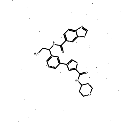 CCC(NC(=O)c1ccc2ncsc2c1)c1cncc(-c2csc(C(=O)NC3CCOCC3)c2)c1